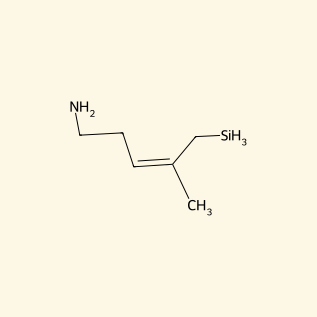 C/C(=C/CCN)C[SiH3]